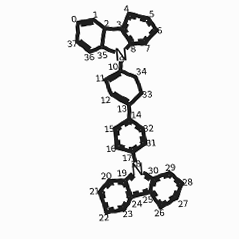 C1=CC2c3ccccc3N(C3=CC=C(c4ccc(-n5c6ccccc6c6ccccc65)cc4)CC3)C2C=C1